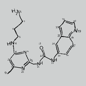 Cc1cc(NCCCN)nc(NC(=O)Nc2ccc3ncccc3c2)n1